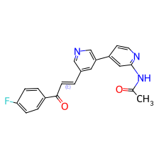 CC(=O)Nc1cc(-c2cncc(/C=C/C(=O)c3ccc(F)cc3)c2)ccn1